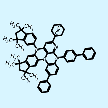 CC1(C)CC(C)(C)c2cc(N3c4cc5c(cc4B4c6cc(-c7ccccc7)ccc6N(c6ccc(-c7ccccc7)cc6)c6nc(C78CCC(CC7)CC8)cc3c64)C(C)(C)CC5(C)C)ccc21